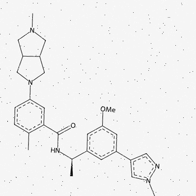 COc1cc(-c2cnn(C)c2)cc([C@@H](C)NC(=O)c2cc(N3CC4CN(C)CC4C3)ccc2C)c1